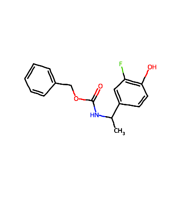 CC(NC(=O)OCc1ccccc1)c1ccc(O)c(F)c1